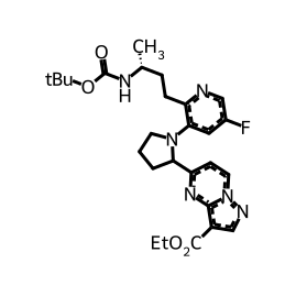 CCOC(=O)c1cnn2ccc(C3CCCN3c3cc(F)cnc3CC[C@@H](C)NC(=O)OC(C)(C)C)nc12